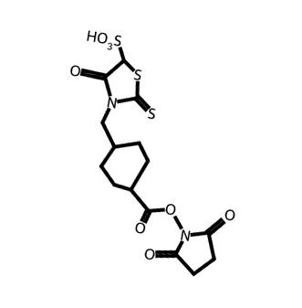 O=C(ON1C(=O)CCC1=O)C1CCC(CN2C(=O)C(S(=O)(=O)O)SC2=S)CC1